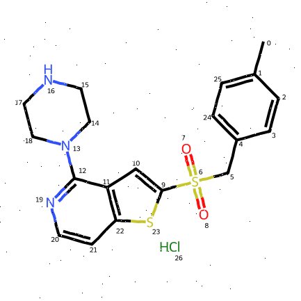 Cc1ccc(CS(=O)(=O)c2cc3c(N4CCNCC4)nccc3s2)cc1.Cl